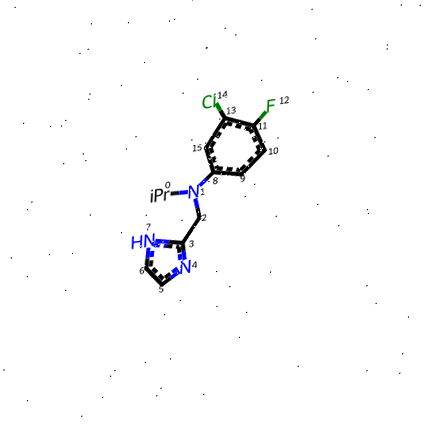 CC(C)N(Cc1ncc[nH]1)c1ccc(F)c(Cl)c1